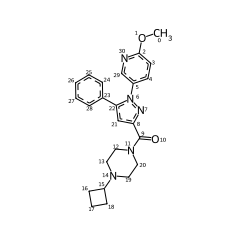 COc1ccc(-n2nc(C(=O)N3CCN(C4CCC4)CC3)cc2-c2ccccc2)cn1